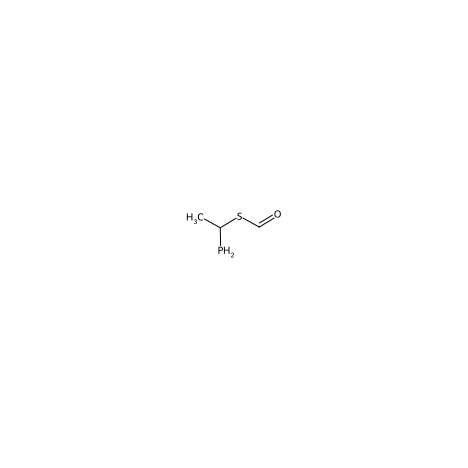 CC(P)SC=O